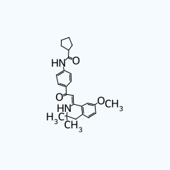 COc1ccc2c(c1)C(=CC(=O)c1ccc(NC(=O)C3CCCC3)cc1)NC(C)(C)C2